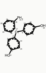 Oc1ccc(Oc2ccc(O)cc2)cc1.Pc1ccccc1